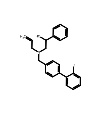 C=CCN(Cc1ccc(-c2ccccc2Cl)cc1)CC(O)c1ccccc1